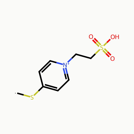 [CH2]Sc1cc[n+](CCS(=O)(=O)O)cc1